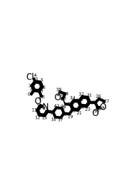 Cc1cc(Cl)ccc1COc1cccc(C2CCC(Cc3cc4cc(C5CCOC5=O)ccc4cc3C[C@@H]3CCO3)CC2)n1